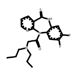 CCCN(CCC)CC(=O)N1c2cc(F)c(F)cc2NC(=S)c2cccnc21